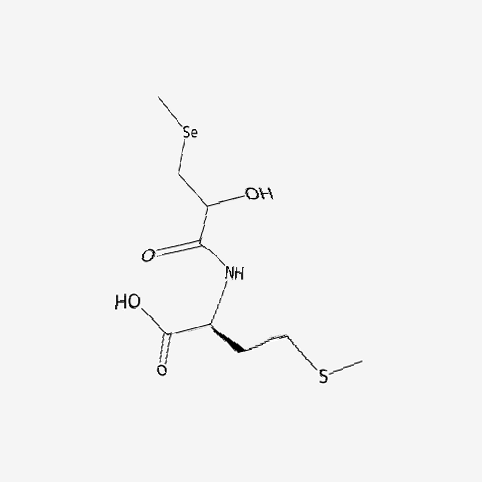 CSCC[C@H](NC(=O)C(O)C[Se]C)C(=O)O